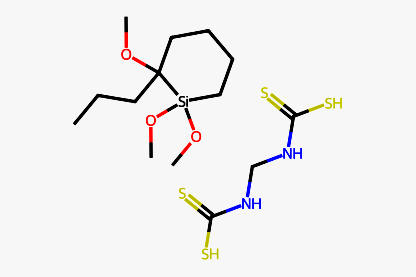 CCCC1(OC)CCCC[Si]1(OC)OC.S=C(S)NCNC(=S)S